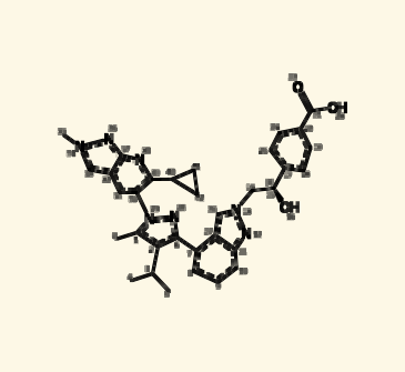 Cc1c(C(C)C)c(-c2cccc3nn(C[C@H](O)c4ccc(C(=O)O)cc4)cc23)nn1-c1cc2cn(C)nc2nc1C1CC1